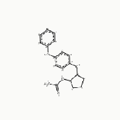 CC(=O)OC1CCCC1Oc1ccc(Oc2ccccc2)cc1